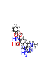 CC(C)(C)n1cc(-c2ccc(NC(=O)Oc3ccccc3)c(O)c2)c2c(N)ncnc21